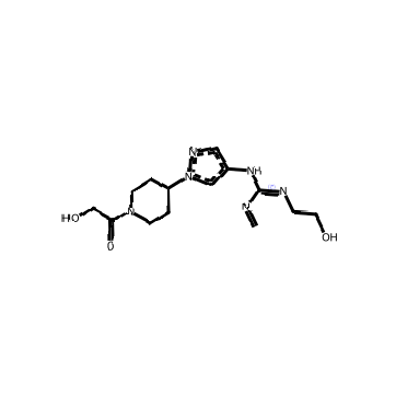 C=N/C(=N\CCO)Nc1cnn(C2CCN(C(=O)CO)CC2)c1